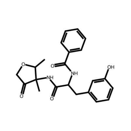 CC1OCC(=O)C1(C)NC(=O)C(Cc1cccc(O)c1)NC(=O)c1ccccc1